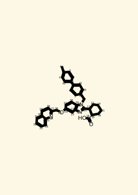 Cc1ccc(-c2ccc(Cn3c(C4CCCC[C@@H]4C(=O)O)nc4cc(OCc5ccc6ccccc6n5)ccc43)cc2)cc1